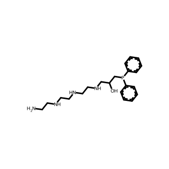 NCCNCCNCCNCC(O)CP(c1ccccc1)c1ccccc1